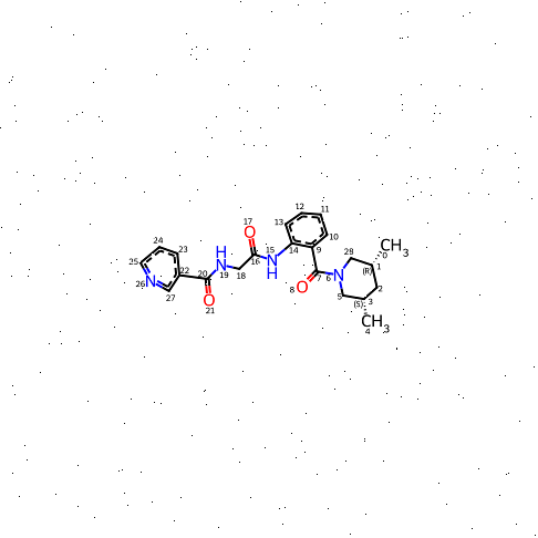 C[C@@H]1C[C@H](C)CN(C(=O)c2ccccc2NC(=O)CNC(=O)c2cccnc2)C1